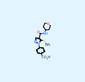 CCCSc1c(C(=O)NC2CCOCC2)cnn1-c1ccc(C(=O)O)cc1